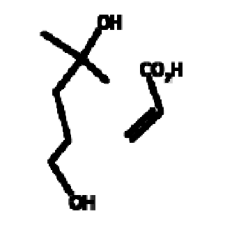 C=CC(=O)O.CC(C)(O)CCCO